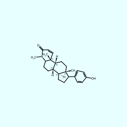 CN1C(=O)C=C[C@@]2(C)C1CC[C@@H]1[C@H]2CC[C@]2(C)C(c3ccc(O)cc3)CC[C@@H]12